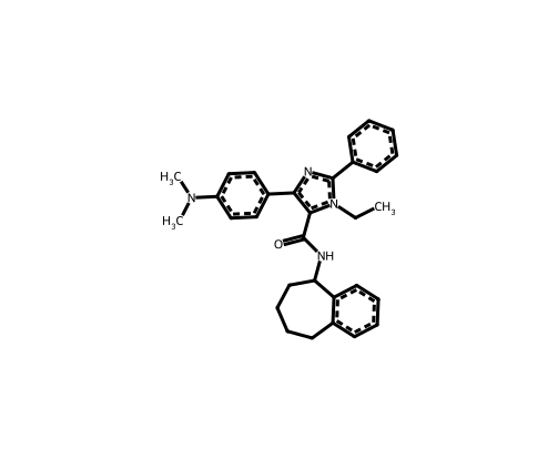 CCn1c(-c2ccccc2)nc(-c2ccc(N(C)C)cc2)c1C(=O)NC1CCCCc2ccccc21